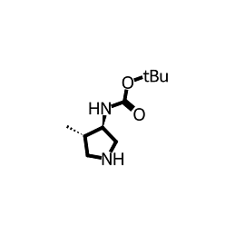 C[C@H]1CNC[C@@H]1NC(=O)OC(C)(C)C